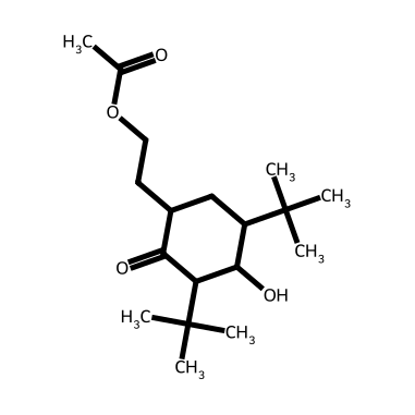 CC(=O)OCCC1CC(C(C)(C)C)C(O)C(C(C)(C)C)C1=O